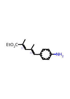 CCOC(=O)/C(C)=C/C(C)=C/c1ccc(N)cc1